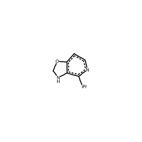 CC(C)c1nccc2c1NCO2